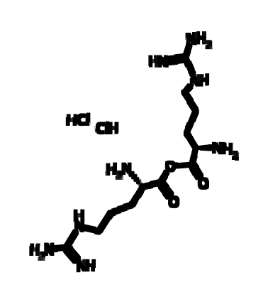 Cl.Cl.N=C(N)NCCC[C@@H](N)C(=O)OC(=O)[C@@H](N)CCCNC(=N)N